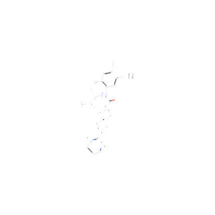 CC1COc2cc(F)c(C#N)cc2N1C(=O)N1CC2(C1)CN(c1ncccn1)C2